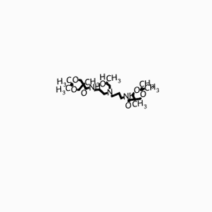 CC(O)CN(CCCNC(=O)C1(C)COC(C)(C)OC1)CCCNC(=O)C1(C)COC(C)(C)OC1